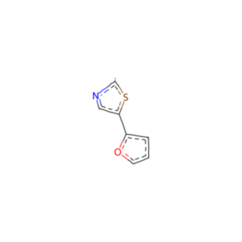 [c]1ncc(-c2ccco2)s1